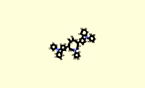 C=C1/C=C(C2=Cc3c(n(-c4ccccc4)c4ccccc34)CC2)\C=C/N(c2ccccc2)/C=C\C(c2ccc3c(c2)c2c(n3-c3ccccc3)CCC=C2)=C/C1=C